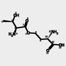 C[C@@H](O)[C@H](N)C(=O)OCC[C@H](N)C(=O)O